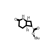 CC(C)(C)OC(=O)[C@H]1C[C@@H]2NC(=O)CC[C@@H]21